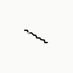 [CH2]CCCCCCCCOCC